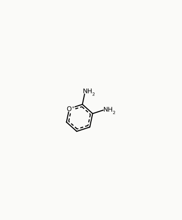 Nc1ccc[o+]c1N